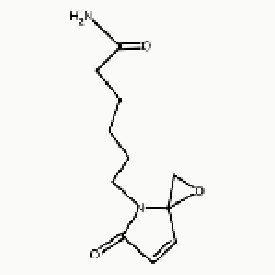 NC(=O)CCCCCN1C(=O)C=CC12CO2